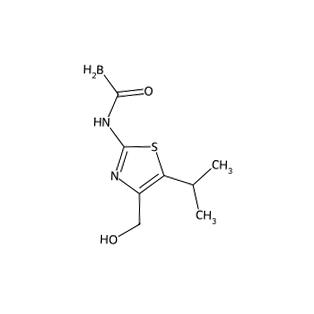 BC(=O)Nc1nc(CO)c(C(C)C)s1